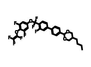 CCCCC1COC(c2ccc(-c3ccc(C(F)(F)Oc4cc(F)c(OC(F)=C(F)F)c(F)c4)c(F)c3)cc2)OC1